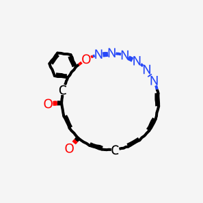 O=C1/C=C\C\C=C/C=C\C=C/N=N\N=N/N=N\Oc2ccccc2CC(=O)/C=C\1